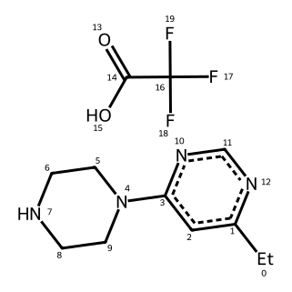 CCc1cc(N2CCNCC2)ncn1.O=C(O)C(F)(F)F